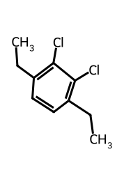 CCc1ccc(CC)c(Cl)c1Cl